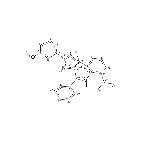 COc1cccc(-c2csc(C(Nc3c(C(C)C)cccc3C(C)C)c3ccccc3)n2)c1